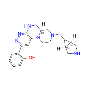 Oc1ccccc1-c1cc2c(nn1)NC[C@H]1CN(CC3[C@H]4CNC[C@@H]34)CCN21